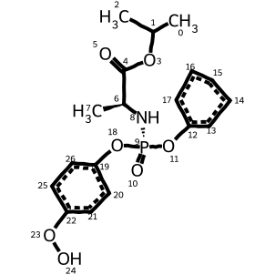 CC(C)OC(=O)[C@H](C)N[P@@](=O)(Oc1ccccc1)Oc1ccc(OO)cc1